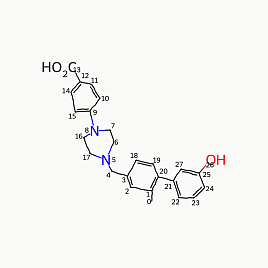 Cc1cc(CN2CCN(c3ccc(C(=O)O)cc3)CC2)ccc1-c1cccc(O)c1